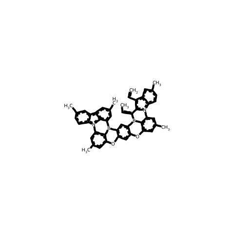 C=Cc1c2n(c3ccc(C)cc13)-c1cc(C)cc3c1B(/C2=C/C)c1cc2c(cc1O3)Oc1cc(C)cc3c1B2c1cc(C)cc2c4cc(C)ccc4n-3c12